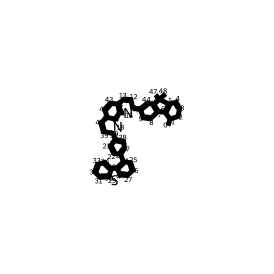 CC1CC=CC2=C1c1ccc(-c3ccc4c(n3)C3N=C(c5ccc(-c6cccc7sc8ccccc8c67)cc5)C=CC3C=C4)cc1C2(C)C